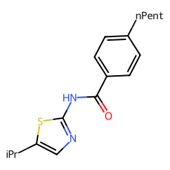 CCCCCc1ccc(C(=O)Nc2ncc(C(C)C)s2)cc1